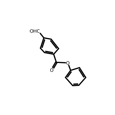 O=[C]c1ccc(C(=O)Oc2ccccc2)cc1